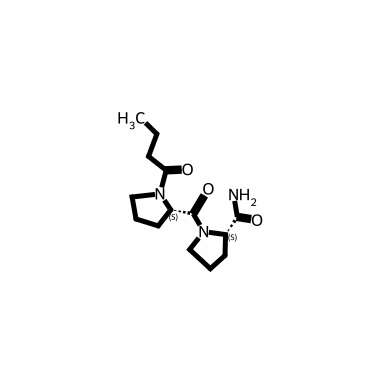 CCCC(=O)N1CCC[C@H]1C(=O)N1CCC[C@H]1C(N)=O